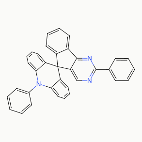 c1ccc(-c2ncc3c(n2)-c2ccccc2C32c3ccccc3N(c3ccccc3)c3ccccc32)cc1